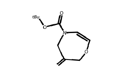 C=C1COC=CN(C(=O)OC(C)(C)C)C1